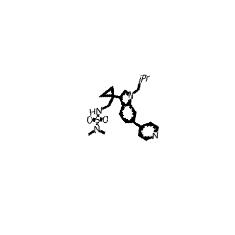 CC(C)Cn1cc(C2(CNS(=O)(=O)N(C)C)CC2)c2ccc(-c3ccncc3)cc21